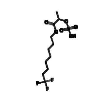 CC(OS(=O)(=O)O)C(=O)OCCCCCCCC(F)(F)F